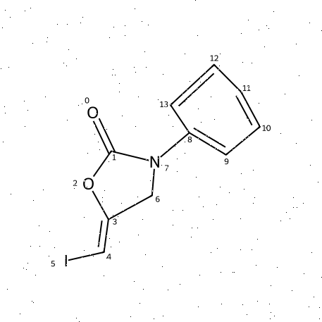 O=C1OC(=CI)CN1c1ccccc1